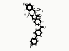 CC1CC2(CCN(C(=O)C3=CC=C(C4=CC=C(F)CC4)CC3)CC2)C(=O)N1[C@@H](C)c1ccc(F)cc1